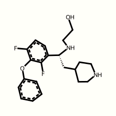 OCCN[C@H](CC1CCNCC1)c1ccc(F)c(Oc2ccccc2)c1F